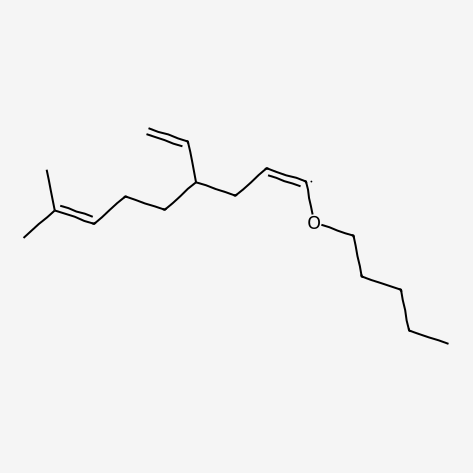 C=CC(C/C=[C]\OCCCCC)CCC=C(C)C